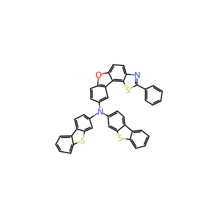 c1ccc(-c2nc3ccc4oc5ccc(N(c6ccc7c(c6)sc6ccccc67)c6ccc7c(c6)sc6ccccc67)cc5c4c3s2)cc1